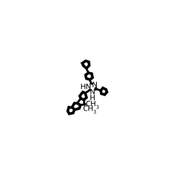 CC1(C)c2cc(C3NC(c4ccccc4)=NC(c4ccc(-c5ccccc5)cc4)N3)ccc2-c2cc3ccccc3cc21